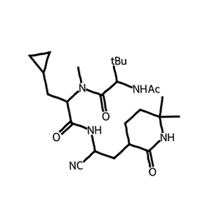 CC(=O)NC(C(=O)N(C)C(CC1CC1)C(=O)NC(C#N)CC1CCC(C)(C)NC1=O)C(C)(C)C